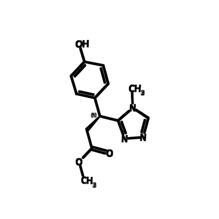 COC(=O)C[C@@H](c1ccc(O)cc1)c1nncn1C